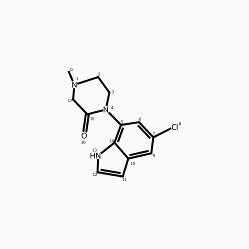 CN1CCN(c2cc(Cl)cc3cc[nH]c23)C(=O)C1